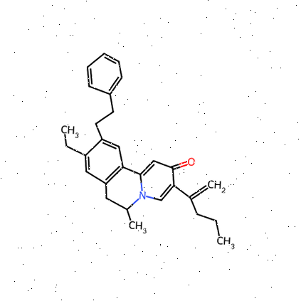 C=C(CCC)c1cn2c(cc1=O)-c1cc(CCc3ccccc3)c(CC)cc1CC2C